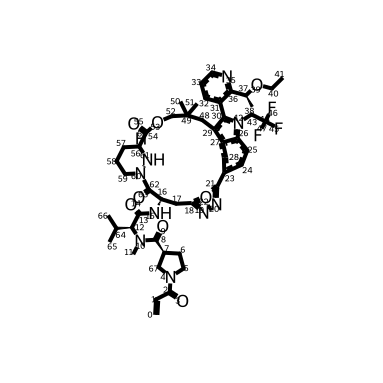 C=CC(=O)N1CC[C@H](C(=O)N(C)[C@H](C(=O)N[C@H]2Cc3nnc(o3)-c3ccc4c(c3)c(c(-c3cccnc3[C@H](C)OCC)n4CC(F)(F)F)CC(C)(C)COC(=O)[C@@H]3CCCN(N3)C2=O)C(C)C)C1